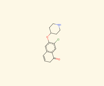 O=C1CC=Cc2cc(OC3CCNCC3)c(Cl)cc21